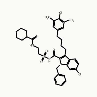 Cc1cc(CCCCc2c(C(=O)NS(=O)(=O)CCNC(=O)C3CCCCC3)n(Cc3cccnc3)c3cc(Cl)ccc23)cc(C)c1Cl